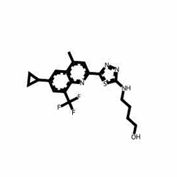 Cc1cc(-c2nnc(NCCCCO)s2)nc2c(C(F)(F)F)cc(C3CC3)cc12